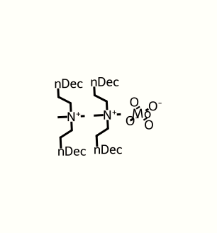 CCCCCCCCCCCC[N+](C)(C)CCCCCCCCCCCC.CCCCCCCCCCCC[N+](C)(C)CCCCCCCCCCCC.[O]=[Mo](=[O])([O-])[O-]